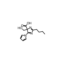 CCCCC1=NC(CO)(C(=O)O)C(n2cccc2)=N1